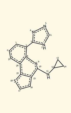 c1cc(-c2nnc[nH]2)c2nc(NC3CC3)c3ccsc3c2c1